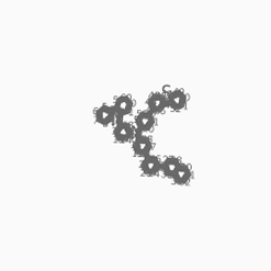 C1=Cc2c(c3ccccc3n2-c2cccc(N(c3ccc(-c4cccc(-c5ccc6ccccc6c5)c4)cc3)c3ccc(-c4ccc5sc6ccccc6c5c4)cc3)c2)CC1